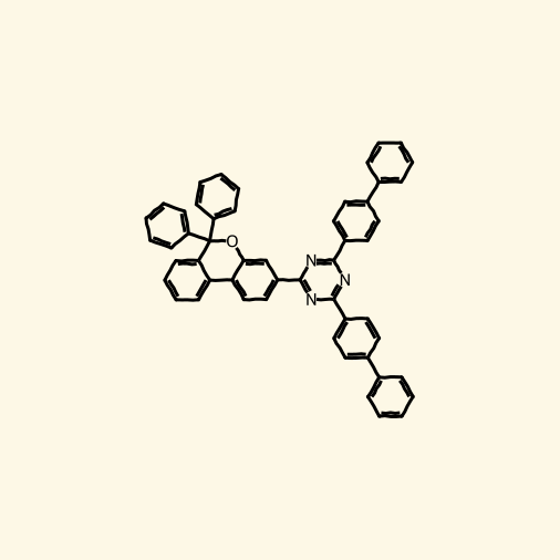 c1ccc(-c2ccc(-c3nc(-c4ccc(-c5ccccc5)cc4)nc(-c4ccc5c(c4)OC(c4ccccc4)(c4ccccc4)c4ccccc4-5)n3)cc2)cc1